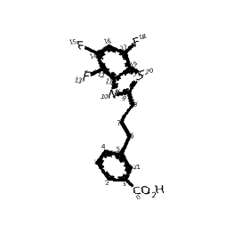 O=C(O)c1cccc(CCCc2nc3c(F)c(F)cc(F)c3s2)c1